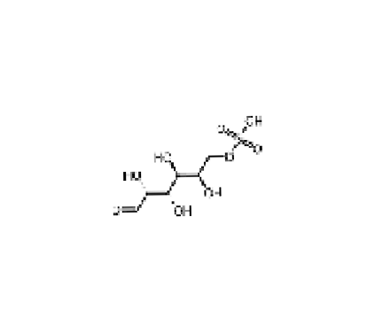 O=C[C@H](O)[C@@H](O)[C@@H](O)[C@H](O)COS(=O)(=O)O